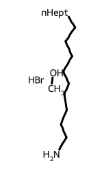 Br.CCCCCCCCCCCCCCCCN.CO